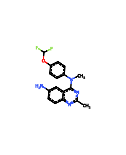 Cc1nc(N(C)c2ccc(OC(F)F)cc2)c2cc(N)ccc2n1